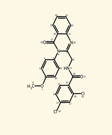 COc1ccc(-n2c(CNC(=O)c3ccc(Cl)cc3Cl)nc3ccccc3c2=O)cc1